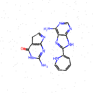 Nc1nc2c(c(=O)[nH]1)CC=N2.Nc1ncnc2[nH]c(C3=CC=CC=CN3)nc12